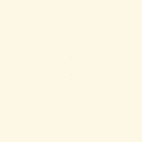 CCN1CCn2c(cnc2C#N)C1